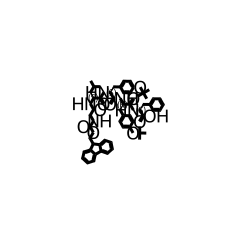 CC(C)C[C@H](NC(=O)CNC(=O)OCC1c2ccccc2-c2ccccc21)C(=O)N[C@@H](Cc1ccc(OC(C)(C)C)cc1)C(=O)N[C@H](Cc1ccc(OC(C)(C)C)cc1)C(=O)N[C@@H](Cc1ccccc1)C(=O)O